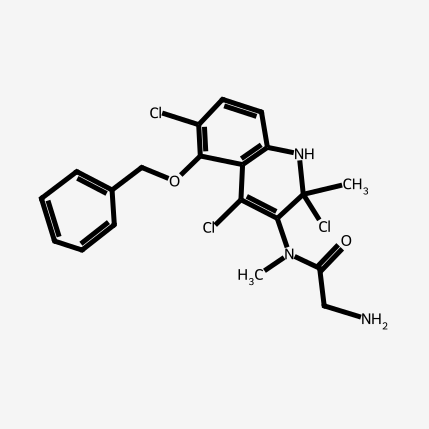 CN(C(=O)CN)C1=C(Cl)c2c(ccc(Cl)c2OCc2ccccc2)NC1(C)Cl